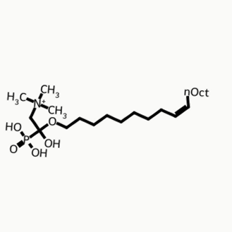 CCCCCCCC/C=C\CCCCCCCCOC(O)(C[N+](C)(C)C)P(=O)(O)O